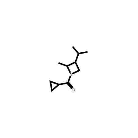 CC(C)C1CN(C(=O)C2CC2)C1C